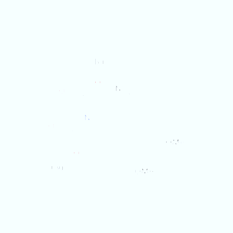 COc1cc(N(C(=O)OC(C)(C)C)C(=O)OC(C)(C)C)c([N+](=O)[O-])cc1OC